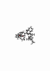 O=C(c1ccncc1)N1C2CC1CN(c1ccc(-c3nc(Nc4cc(C5CC5)[nH]n4)c4ccccc4n3)cn1)C2